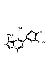 COc1cc(-c2nc(C)n3ccc(C(=O)O)c3n2)ccc1F.[NaH]